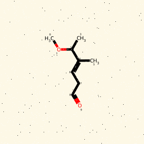 COC(C)/C(C)=C/CC=O